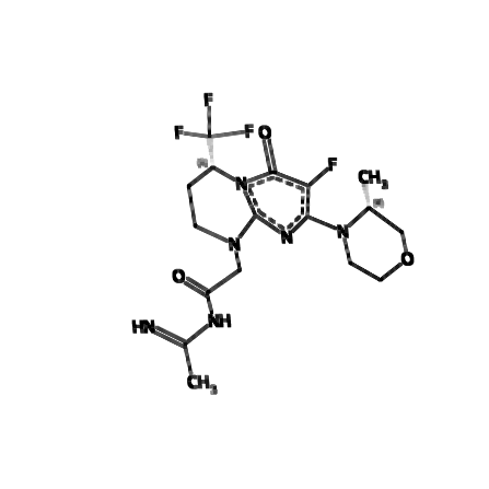 CC(=N)NC(=O)CN1CC[C@H](C(F)(F)F)n2c1nc(N1CCOC[C@H]1C)c(F)c2=O